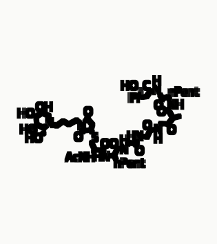 CCCCCC(NC(=O)C(CSC1CC(=O)N(CCCCN2C[C@H](O)[C@@H](O)[C@H](O)[C@H]2CO)C1=O)NC(C)=O)C(=O)NCC(=O)NCC(=O)NCC(=O)C(C)C(=O)NC(CCCCC)C(=O)NC(CC(C)C)C(=O)O